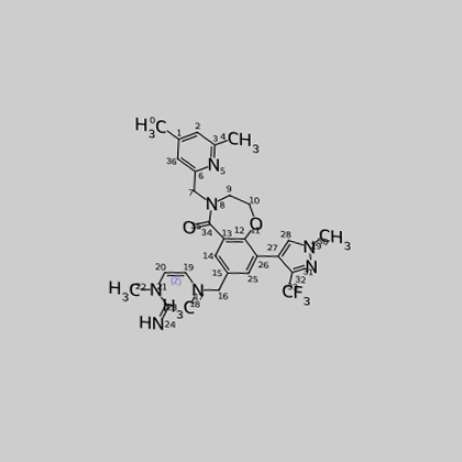 Cc1cc(C)nc(CN2CCOc3c(cc(CN(C)/C=C\N(C)C=N)cc3-c3cn(C)nc3C(F)(F)F)C2=O)c1